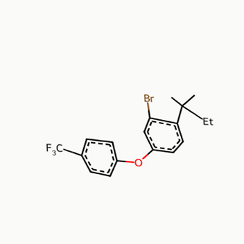 CCC(C)(C)c1ccc(Oc2ccc(C(F)(F)F)cc2)cc1Br